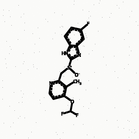 Cc1c(OC(F)F)ccnc1C[S+]([O-])c1nc2cc(F)ccc2[nH]1